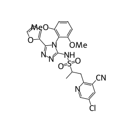 COc1cccc(OC)c1-n1c(NS(=O)(=O)C(C)Cc2ncc(Cl)cc2C#N)nnc1-c1ccco1